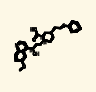 COc1ccc2nccc([C@H](O)CC[C@@H]3CCN(CCSc4ccccc4)C[C@@H]3C(=O)O)c2c1